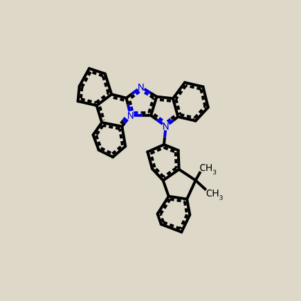 CC1(C)c2ccccc2-c2ccc(-n3c4ccccc4c4nc5c6ccccc6c6ccccc6n5c43)cc21